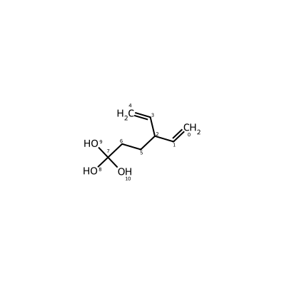 C=CC(C=C)CCC(O)(O)O